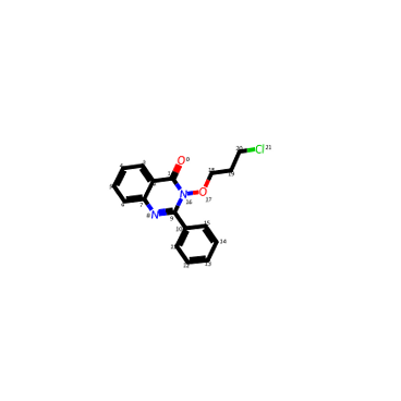 O=c1c2ccccc2nc(-c2ccccc2)n1OCCCCl